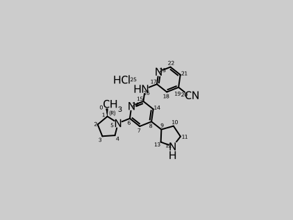 C[C@@H]1CCCN1c1cc(C2CCNC2)cc(Nc2cc(C#N)ccn2)n1.Cl